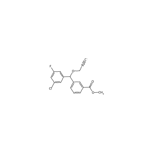 [C-]#[N+]COC(c1cc(F)cc(Cl)c1)c1cccc(C(=O)OC)c1